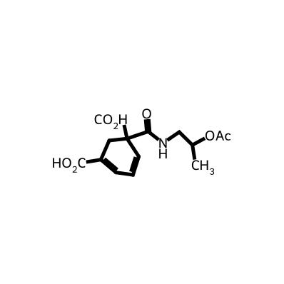 CC(=O)OC(C)CNC(=O)C1(C(=O)O)C=CC=C(C(=O)O)C1